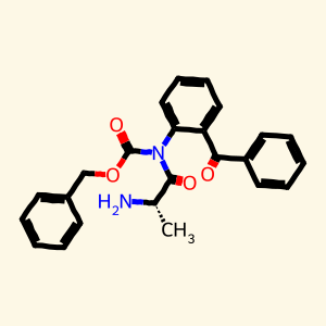 C[C@H](N)C(=O)N(C(=O)OCc1ccccc1)c1ccccc1C(=O)c1ccccc1